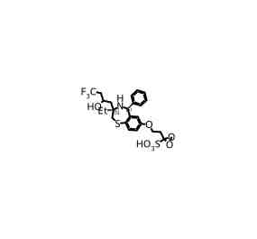 CC[C@]1(CC(O)CC(F)(F)F)CSc2ccc(OCCC3(S(=O)(=O)O)OO3)cc2[C@H](c2ccccc2)N1